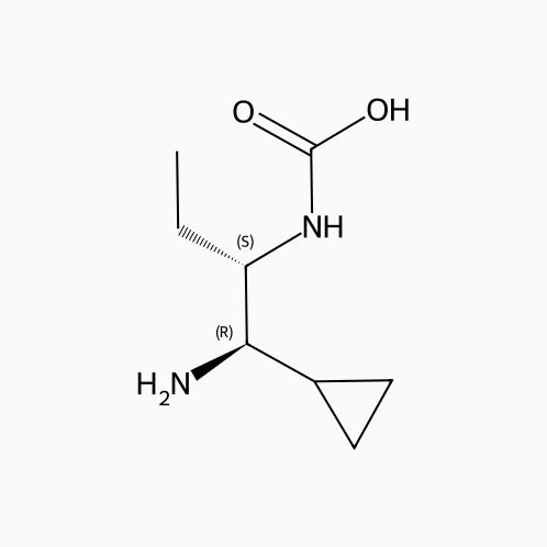 CC[C@H](NC(=O)O)[C@H](N)C1CC1